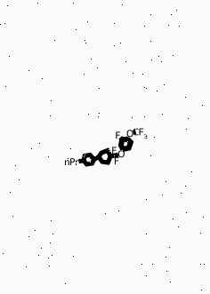 CCCC1CCC(C2CCC(C(F)(F)Oc3ccc(OC(F)(F)F)c(F)c3)CC2)CC1